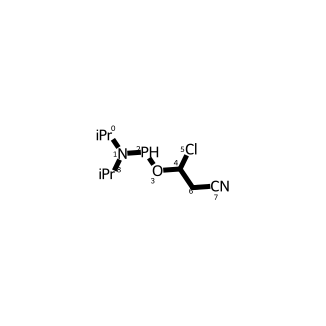 CC(C)N(POC(Cl)CC#N)C(C)C